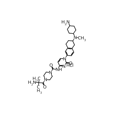 CN(C1CCC(N)CC1)C1CCc2cc(-n3ccc(NC(=O)N4CCN(C(=O)C(C)(C)N)CC4)nc3=O)ccc2C1.Cl